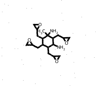 CC1(N)C(CC2CO2)C(N)C(CC2CO2)C(CC2CO2)C1CC1CO1